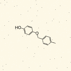 Cc1ccc(COc2ccc(O)cc2)cc1